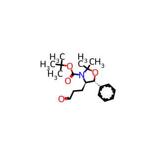 CC(C)(C)OC(=O)N1[C@H](CCC=O)[C@@H](c2ccccc2)OC1(C)C